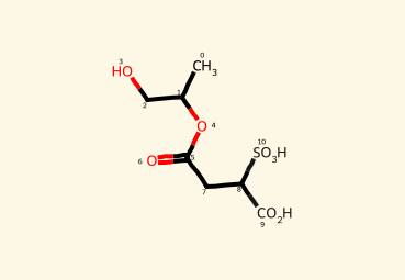 CC(CO)OC(=O)CC(C(=O)O)S(=O)(=O)O